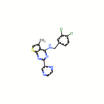 Cc1csc2nc(-c3cnccn3)nc(NCc3ccc(Cl)c(Cl)c3)c12